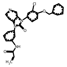 C=CC(=O)Nc1cccc(-n2c(=O)n(-c3ccc(OCc4ccccc4)c(Cl)c3)c3cnccc32)c1